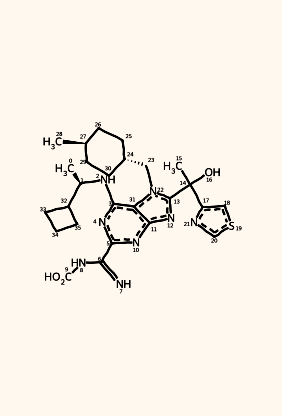 C[C@@H](Nc1nc(C(=N)NC(=O)O)nc2nc(C(C)(O)c3cscn3)n(C[C@H]3CC[C@H](C)CC3)c12)C1CCC1